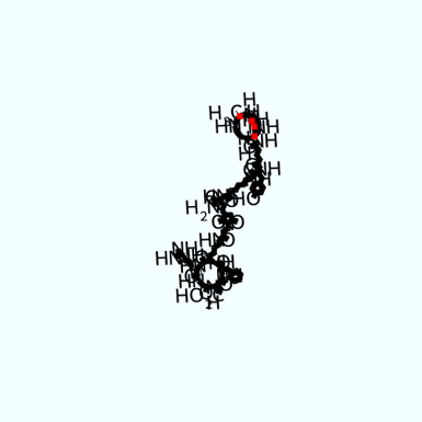 C[C@]12CNCCNC[C@](NC(=O)CCCC(=O)NC(Cc3ccc(O)cc3)C(=O)NCCCCCC(=O)NC(CSC3CC(=O)N(CCC(=O)NCCCCC4NC(=O)C(Cc5ccccc5)NC(=O)C(CC(=O)O)NC(=O)CNC(=O)[C@H](CCCNC(=N)N)NC4=O)C3=O)C(N)=O)(CNCCNC1)CNCCNC2